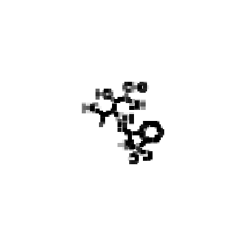 C[C@@H](O)[C@H](O)[C@H](O)[C@@H](O)C=O.O=C1NS(=O)(=O)c2ccccc21